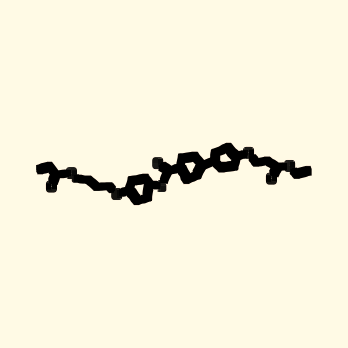 C=COC(=O)CCOc1ccc(-c2ccc(C(=O)Sc3ccc(OCCCCOC(=O)C=C)cc3)cc2)cc1